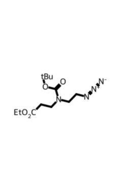 CCOC(=O)CCN(CCN=[N+]=[N-])C(=O)OC(C)(C)C